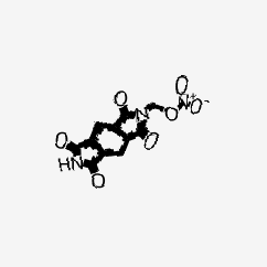 O=c1[nH]c(=O)c2cc3c(=O)n(CO[N+](=O)[O-])c(=O)c3cc12